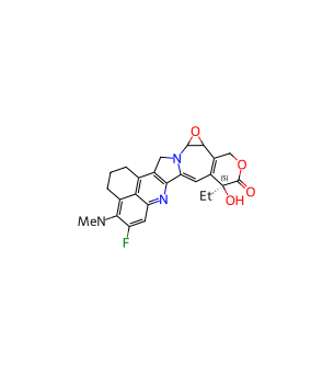 CC[C@@]1(O)C(=O)OCC2=C1C=C1c3nc4cc(F)c(NC)c5c4c(c3CN1C1OC21)CCC5